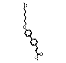 COCCCCCCOc1ccc(-c2ccc(/C=C/C(=O)OC)cc2)cc1